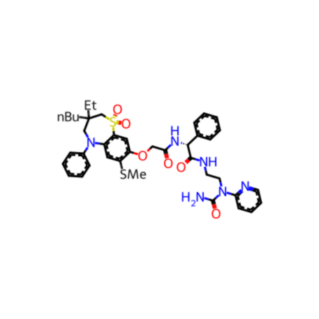 CCCCC1(CC)CN(c2ccccc2)c2cc(SC)c(OCC(=O)N[C@@H](C(=O)NCCN(C(N)=O)c3ccccn3)c3ccccc3)cc2S(=O)(=O)C1